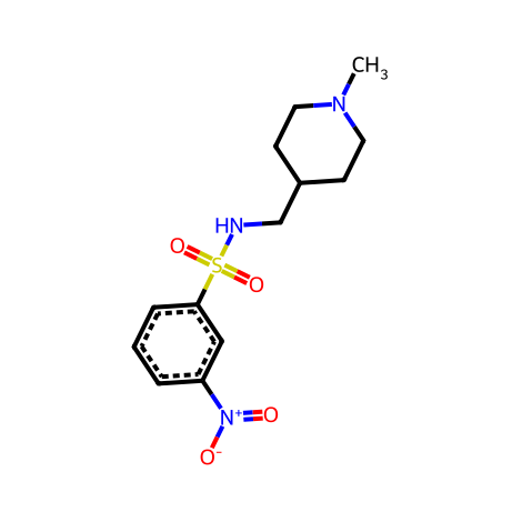 CN1CCC(CNS(=O)(=O)c2cccc([N+](=O)[O-])c2)CC1